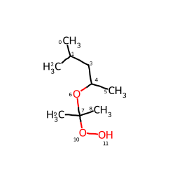 CC(C)CC(C)OC(C)(C)OO